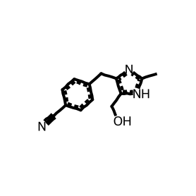 Cc1nc(Cc2ccc(C#N)cc2)c(CO)[nH]1